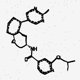 Cc1ncc(-c2cccc3c2C[C@H](NC(=O)c2ccnc(OC(C)C)c2)CO3)cn1